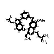 C=CC(=O)Nc1cc(Nc2nccc(-c3cn(CC(F)F)c4ccccc34)n2)c(OC)cc1N(C)CCN(C)C